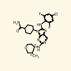 C[C@H]1COCC[C@H]1Nc1ncc2nc(Nc3c(F)cc(Cl)cc3F)n(C3CCC(C(N)=O)CC3)c2n1